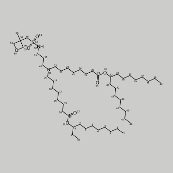 CCCCCCCCC(CC)OC(=O)CCCCCCCN(CCCCCCCC(=O)OC(CCCCCCCC)CCCCCCCC)CCCNS(=O)(=O)CC1(C)COC1